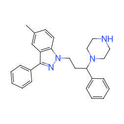 Cc1ccc2c(c1)c(-c1ccccc1)nn2CCC(c1ccccc1)N1CCNCC1